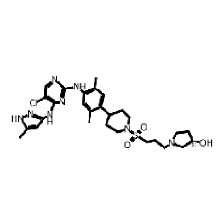 Cc1cc(Nc2nc(Nc3cc(C)c(C4CCN(S(=O)(=O)CCCN5CC[C@@H](O)C5)CC4)cc3C)ncc2Cl)n[nH]1